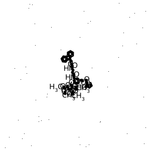 COC(=O)[C@H]1O[C@@H](Oc2ccc(COC(=O)N3CCCC3O)cc2NC(=O)CCNC(=O)OCC2c3ccccc3-c3ccccc32)[C@H](OC(C)=O)[C@@H](OC(C)=O)[C@@H]1OC(C)=O